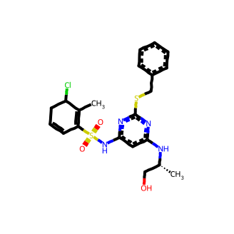 CC1=C(S(=O)(=O)Nc2cc(N[C@H](C)CO)nc(SCc3ccccc3)n2)C=CCC1Cl